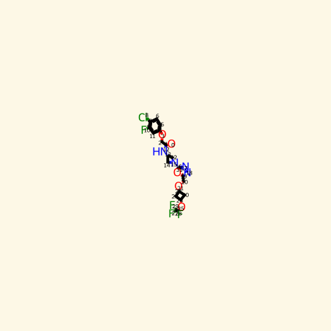 O=C(COc1ccc(Cl)c(F)c1)NC1CN(c2nnc(CO[C@H]3C[C@H](OC(F)(F)F)C3)o2)C1